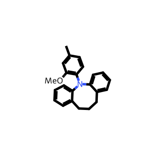 COc1cc(C)ccc1N1c2ccccc2CCCc2ccccc21